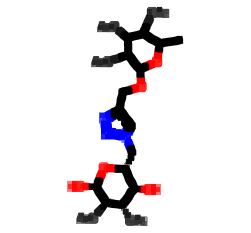 CC(=O)OC1C(C)OC(OCc2cn(C[C@H]3O[C@H](O)[C@H](OC(C)=O)[C@@H](OC(C)=O)[C@@H]3O)nn2)C(OC(C)=O)C1OC(C)=O